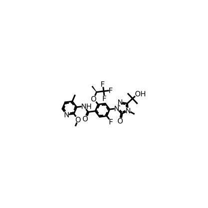 COc1nccc(C)c1NC(=O)c1cc(F)c(-n2nc(C(C)(C)O)n(C)c2=O)cc1O[C@@H](C)C(F)(F)F